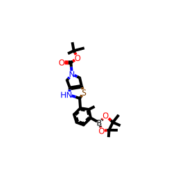 Cc1c(B2OC(C)(C)C(C)(C)O2)cccc1C1NC2=C(CN(C(=O)OC(C)(C)C)C2)S1